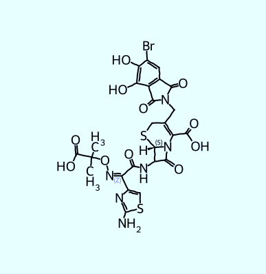 CC(C)(O/N=C(\C(=O)NC1C(=O)N2C(C(=O)O)=C(CN3C(=O)c4cc(Br)c(O)c(O)c4C3=O)CS[C@@H]12)c1csc(N)n1)C(=O)O